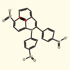 O=[N+]([O-])c1ccc(B(/C(=C\c2ccccn2)c2ccc([N+](=O)[O-])cc2)c2ccc([N+](=O)[O-])cc2)cc1